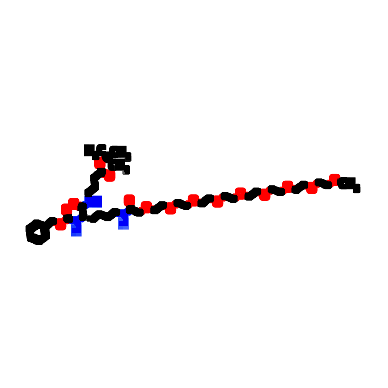 COCCOCCOCCOCCOCCOCCOCCOCCOCC(=O)NCCCC[C@H](NC(=O)OCc1ccccc1)C(=O)NCCCC(=O)OC(C)(C)C